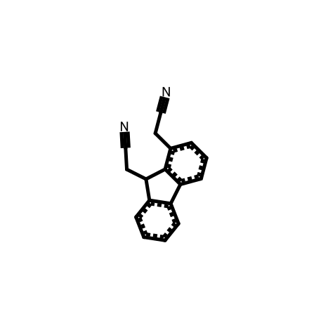 N#CCc1cccc2c1C(CC#N)c1ccccc1-2